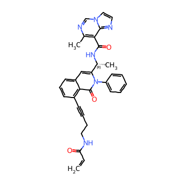 C=CC(=O)NCCC#Cc1cccc2cc([C@@H](C)NC(=O)c3c(C)ncn4ccnc34)n(-c3ccccc3)c(=O)c12